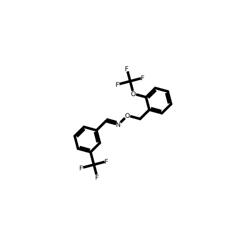 FC(F)(F)Oc1ccccc1CON=[C]c1cccc(C(F)(F)F)c1